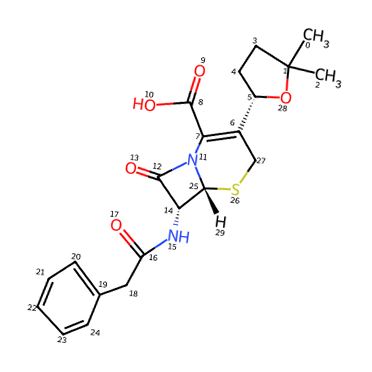 CC1(C)CC[C@@H](C2=C(C(=O)O)N3C(=O)[C@@H](NC(=O)Cc4ccccc4)[C@H]3SC2)O1